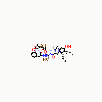 Cc1cc(O)c(C)c(C)c1C[C@H](N)C(=O)N[C@H](CS)C(=O)N[C@@H](Cc1ccccc1)C(=O)N[C@@H](C(=O)O)C(C)(C)S